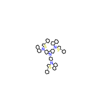 c1ccc(-c2ccc(N(c3ccc(-n4c5ccc(N(c6ccc(-c7ccccc7)s6)c6cccc7ccccc67)cc5c5cc(N(c6ccc(-c7ccccc7)s6)c6cccc7ccccc67)ccc54)cc3)c3cccc4ccccc34)s2)cc1